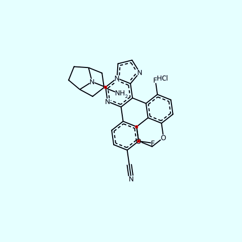 Cl.N#Cc1ccc(-c2nc(N3C4CCC3CC(N)C4)n3ccnc3c2-c2c(F)ccc3c2COCO3)cc1F